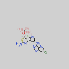 BC(B)(B)OC[C@@]1(C)C[C@@](C)(c2cc(Nc3ncnc4cc(Cl)cnc34)cnc2F)N=C(N)S1